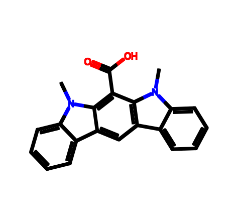 Cn1c2ccccc2c2cc3c4ccccc4n(C)c3c(C(=O)O)c21